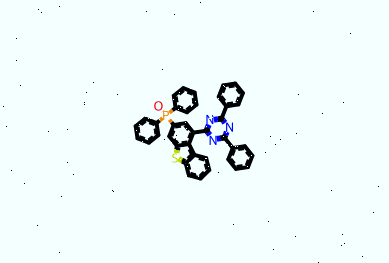 O=P(c1ccccc1)(c1ccccc1)c1cc(-c2nc(-c3ccccc3)nc(-c3ccccc3)n2)c2c(c1)sc1ccccc12